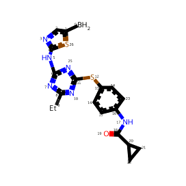 Bc1cnc(Nc2nc(CC)nc(Sc3ccc(NC(=O)C4CC4)cc3)n2)s1